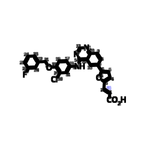 O=C(O)/C=C/c1ccc(-c2ccc3ncnc(Nc4ccc(OCc5cccc(F)c5)c(Cl)c4)c3c2)o1